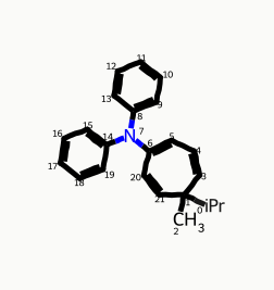 CC(C)C1(C)C=CC=C(N(c2ccccc2)c2ccccc2)C=C1